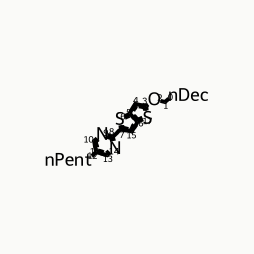 CCCCCCCCCCCOc1cc2sc(-c3ncc(CCCCC)cn3)cc2s1